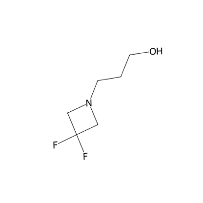 OCCCN1CC(F)(F)C1